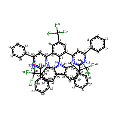 FC(F)(F)c1cc(-c2cc(-c3ccccc3)nc(-c3ccccc3)n2)c(-n2c3cc(C(F)(F)F)ccc3c3ccc(C(F)(F)F)cc32)c(-c2cc(-c3ccccc3)nc(-c3ccccc3)n2)c1